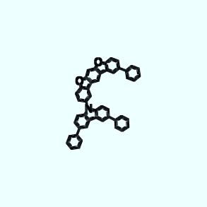 c1ccc(-c2ccc3oc4cc5oc6ccc(-n7c8ccc(-c9ccccc9)cc8c8cc(-c9ccccc9)ccc87)cc6c5cc4c3c2)cc1